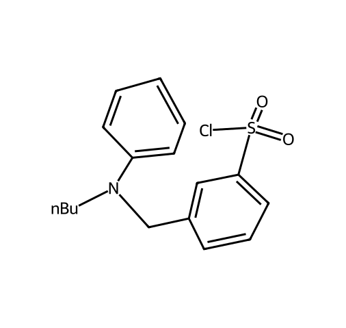 CCCCN(Cc1cccc(S(=O)(=O)Cl)c1)c1ccccc1